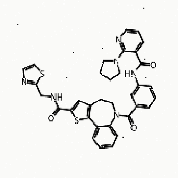 O=C(NCc1nccs1)c1cc2c(s1)-c1ccccc1N(C(=O)c1cccc(NC(=O)c3cccnc3N3CCCC3)c1)CC2